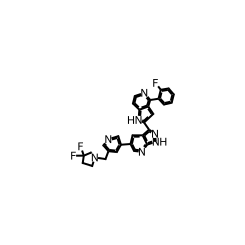 Fc1ccccc1-c1nccc2[nH]c(-c3n[nH]c4ncc(-c5cncc(CN6CCC(F)(F)C6)c5)cc34)cc12